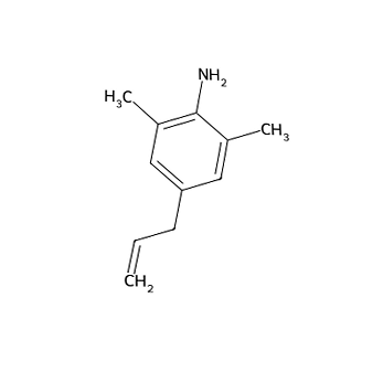 C=CCc1cc(C)c(N)c(C)c1